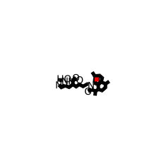 CC1CCC2C(C)C(=O)N(CCC(=O)CC(Cc3cnc[nH]3)C(=O)O)C3OC4(C)CCC1C23OO4